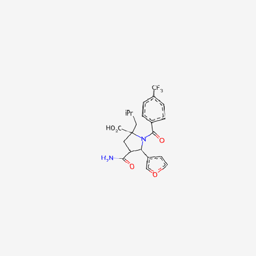 CC(C)CC1(C(=O)O)CC(C(N)=O)C(c2ccoc2)N1C(=O)c1ccc(C(F)(F)F)cc1